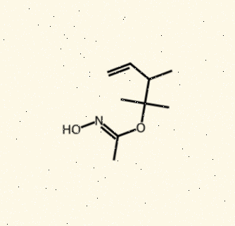 C=CC(C)C(C)(C)OC(C)=NO